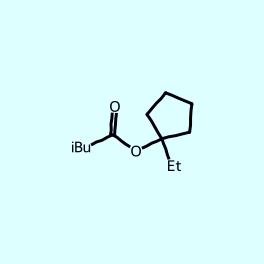 CCC(C)C(=O)OC1(CC)CCCC1